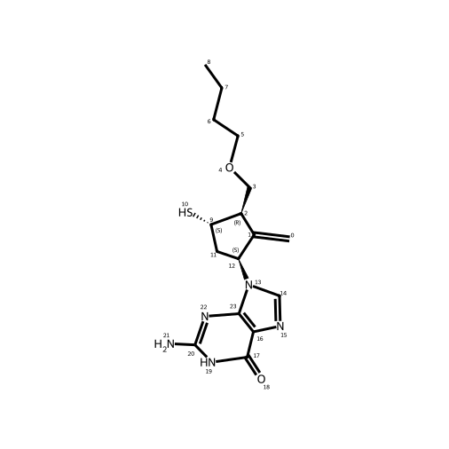 C=C1[C@H](COCCCC)[C@@H](S)C[C@@H]1n1cnc2c(=O)[nH]c(N)nc21